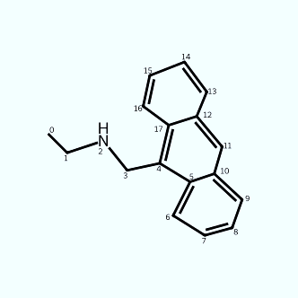 CCNCc1c2ccccc2cc2ccccc12